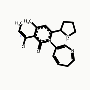 C/C=C(/Cl)c1c(C)cc(C2CCCN2)n(C2=CN=CCC=C2)c1=O